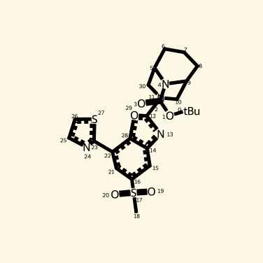 CC(C)(C)OC(=O)N1C2CCCC1CN(c1nc3cc(S(C)(=O)=O)cc(-c4nccs4)c3o1)C2